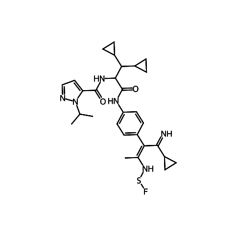 C/C(NSF)=C(/C(=N)C1CC1)c1ccc(NC(=O)C(NC(=O)c2ccnn2C(C)C)C(C2CC2)C2CC2)cc1